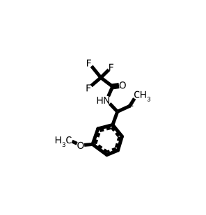 C[CH]C(NC(=O)C(F)(F)F)c1cccc(OC)c1